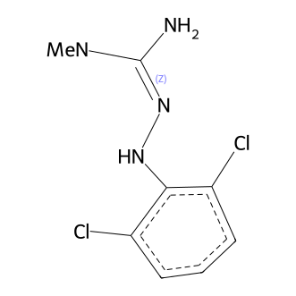 CN/C(N)=N\Nc1c(Cl)cccc1Cl